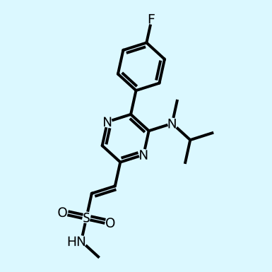 CNS(=O)(=O)/C=C/c1cnc(-c2ccc(F)cc2)c(N(C)C(C)C)n1